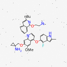 CCCCc1cc2ccccc2c(OCCN(C)C)n1.COc1cc2c(Oc3ccc4[nH]c(C)cc4c3F)ccnc2cc1OCC1(N)CC1